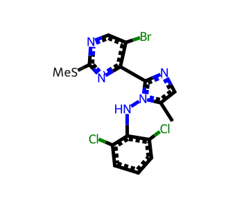 CSc1ncc(Br)c(-c2ncc(C)n2Nc2c(Cl)cccc2Cl)n1